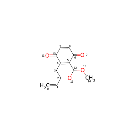 C=CC1CC2=C(C(=O)C=CC2=O)C(OC)O1